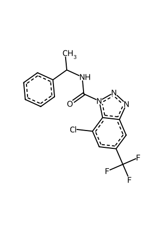 CC(NC(=O)n1nnc2cc(C(F)(F)F)cc(Cl)c21)c1ccccc1